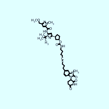 COCc1cc(C(=O)Nc2cc([C@H]3CC[C@@H](OC(=O)NCCCCCCCCCc4ccc5c(c4)n(C)c(=O)n5C4CCC(=O)NC4=O)C3)nn2C(C)(C)C)n(C)n1